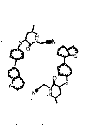 CC(C)CC(Sc1ccc(-c2ccc3ncccc3c2)cc1)C(=O)NCC#N.CC(C)CC(Sc1ccc(-c2cccc3ccsc23)cc1)C(=O)NCC#N